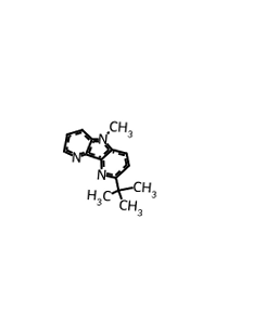 Cn1c2cccnc2c2nc(C(C)(C)C)ccc21